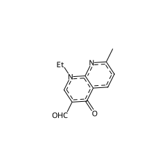 CCn1cc(C=O)c(=O)c2ccc(C)nc21